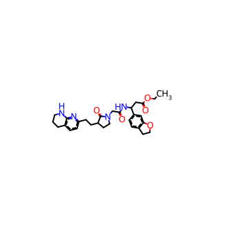 CCOC(=O)CC(NC(=O)CN1CCC(CCc2ccc3c(n2)NCCC3)C1=O)c1ccc2c(c1)OCC2